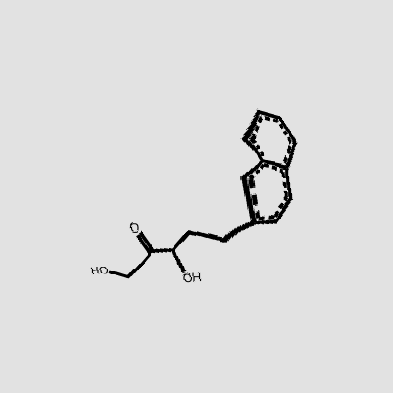 O=C(CO)C(O)CCc1ccc2ccccc2c1